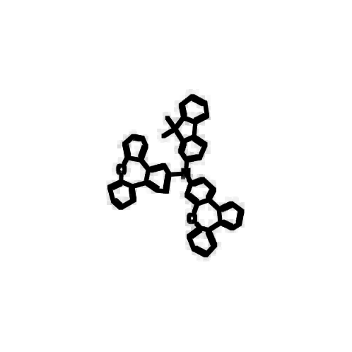 CC1(C)c2ccccc2-c2ccc(N(c3ccc4c(c3)Oc3ccccc3-c3ccccc3-4)c3ccc4c(c3)-c3ccccc3Oc3ccccc3-4)cc21